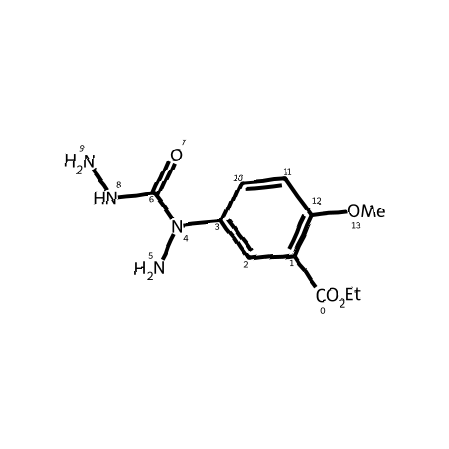 CCOC(=O)c1cc(N(N)C(=O)NN)ccc1OC